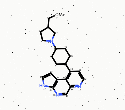 COCC1CCN(C2CCC(c3ccnc4cnc5[nH]ccc5c34)CC2)C1